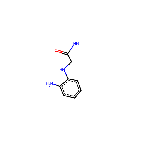 [NH]C(=O)CNc1ccccc1N